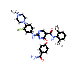 Cc1cccc(C)c1NC(=O)c1cnc(Nc2ccc(N3CCN(C)CC3)c(F)c2)nc1Oc1ccc(C(N)=O)cc1